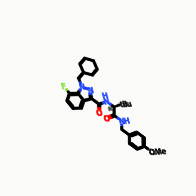 COc1ccc(CNC(=O)[C@@H](NC(=O)c2nn(CC3CCCCC3)c3c(F)cccc23)C(C)(C)C)cc1